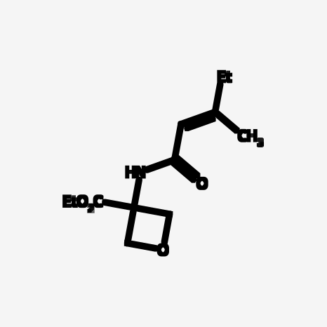 CCOC(=O)C1(NC(=O)/C=C(\C)CC)COC1